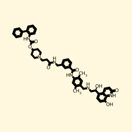 Cc1cc(NC(=O)c2cccc(CNC(=O)CCN3CCC(OC(=O)Nc4ccccc4-c4ccccc4)CC3)c2)c(C)cc1CNC[C@@H](O)c1ccc(O)c2[nH]c(=O)ccc12